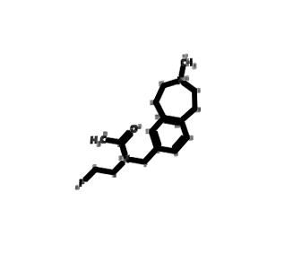 CC(=O)N(CCF)Cc1ccc2c(c1)CCN(C)CC2